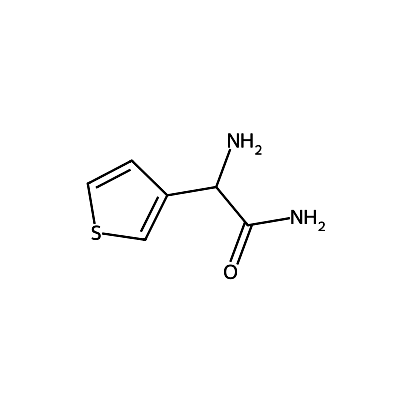 NC(=O)C(N)c1ccsc1